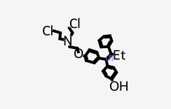 CC/C(=C(\c1ccc(O)cc1)c1ccc(OCCN(CCCl)CCCl)cc1)c1ccccc1